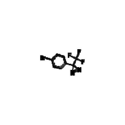 FC(F)(F)C1(c2ccc(Br)cc2)N=N1